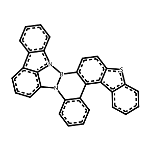 c1ccc2c(c1)-c1c(ccc3sc4ccccc4c13)B1N2c2cccc3c4ccccc4n1c23